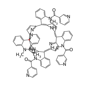 CN(C(=O)c1cccnc1)c1ccccc1-c1c2nc(c(-c3ccccc3N(C)C(=O)c3cccnc3)c3ccc([nH]3)c(-c3ccccc3N(C)C(=O)c3cccnc3)c3nc(c(-c4ccccc4N(C)C(=O)c4cccnc4)c4ccc1[nH]4)C=C3)C=C2